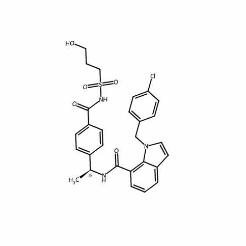 C[C@H](NC(=O)c1cccc2ccn(Cc3ccc(Cl)cc3)c12)c1ccc(C(=O)NS(=O)(=O)CCCO)cc1